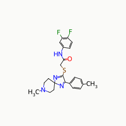 Cc1ccc(C2=NC3(CCN(C)CC3)N=C2SCC(=O)Nc2ccc(F)c(F)c2)cc1